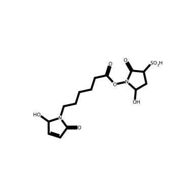 O=C(CCCCCN1C(=O)C=CC1O)ON1C(=O)C(S(=O)(=O)O)CC1O